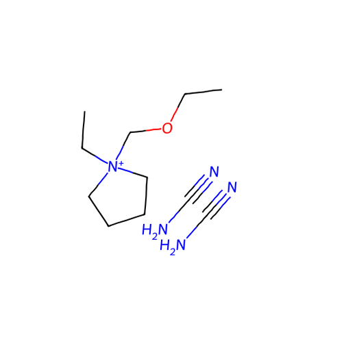 CCOC[N+]1(CC)CCCC1.N#CN.N#CN